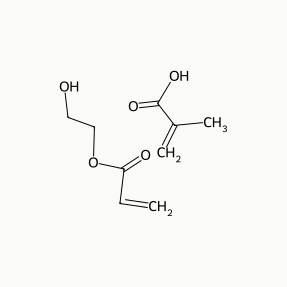 C=C(C)C(=O)O.C=CC(=O)OCCO